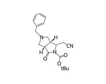 CC(C)(C)OC(=O)N1C(=O)[C@@H]2CN(Cc3ccccc3)C[C@@H]2C1CC#N